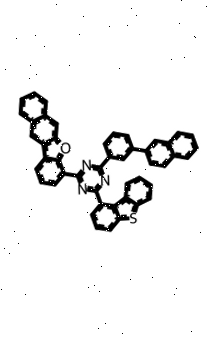 c1cc(-c2ccc3ccccc3c2)cc(-c2nc(-c3cccc4c3oc3cc5ccccc5cc34)nc(-c3cccc4sc5ccccc5c34)n2)c1